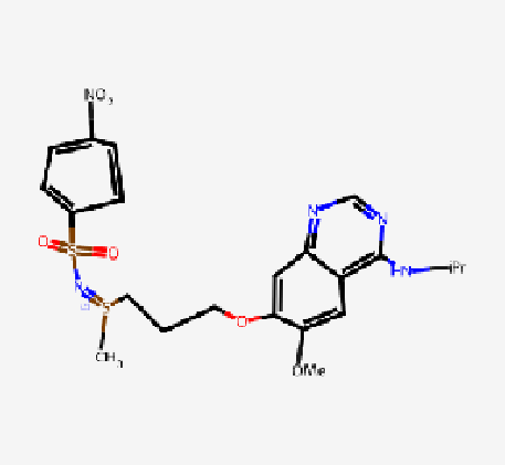 COc1cc2c(NC(C)C)ncnc2cc1OCCC/S(C)=N\S(=O)(=O)c1ccc([N+](=O)[O-])cc1